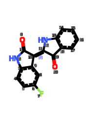 O=C1Nc2ccc(F)cc2/C1=C1/Nc2ccccc2C1=O